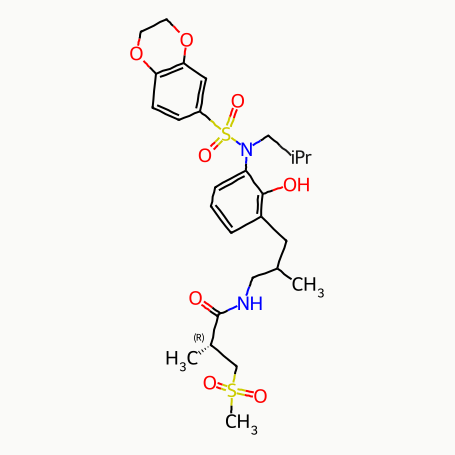 CC(C)CN(c1cccc(CC(C)CNC(=O)[C@@H](C)CS(C)(=O)=O)c1O)S(=O)(=O)c1ccc2c(c1)OCCO2